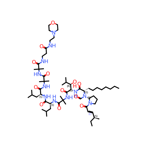 CCCCCCCC[C@@H](C(=O)N[C@H](C(=O)NC(C)(C)C(=O)N[C@@H](CC(C)C)C(=O)N[C@@H](CC(C)C)C(=O)NC(C)(C)C(=O)NC(C)(C)C(=O)NCCC(=O)NCCN1CCOCC1)[C@H](O)C(C)C)N(C=O)[C@@H]1CCCN1C(=O)/C=C/[C@@H](C)CC